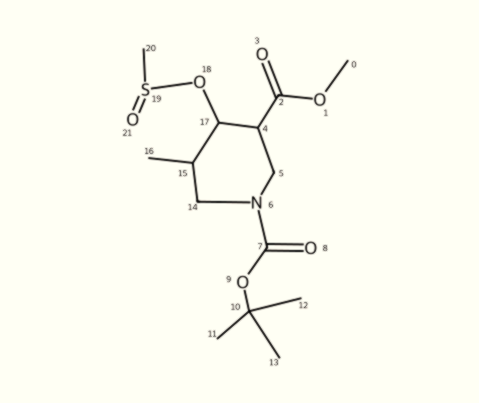 COC(=O)C1CN(C(=O)OC(C)(C)C)CC(C)C1OS(C)=O